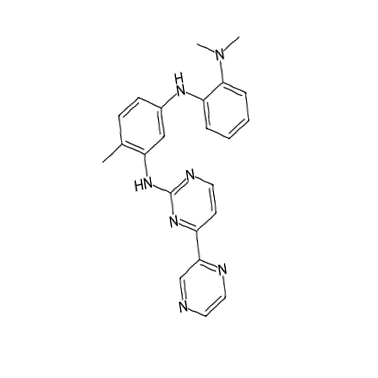 Cc1ccc(Nc2ccccc2N(C)C)cc1Nc1nccc(-c2cnccn2)n1